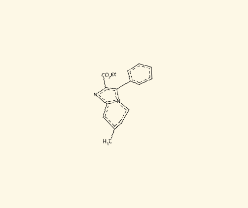 CCOC(=O)c1nc2cc(C)ccn2c1-c1ccccc1